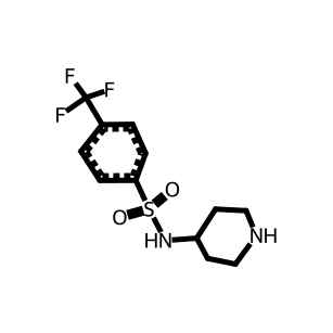 O=S(=O)(NC1CCNCC1)c1ccc(C(F)(F)F)cc1